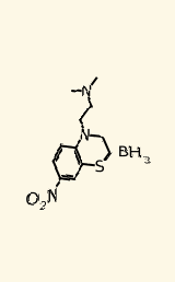 B.CN(C)CCN1CCSc2cc([N+](=O)[O-])ccc21